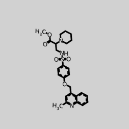 COC(=O)C(CNS(=O)(=O)c1ccc(OCc2cc(C)nc3ccccc23)cc1)N1CCCCC1